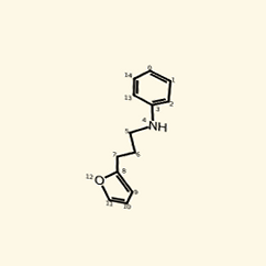 c1ccc(NCCCc2ccco2)cc1